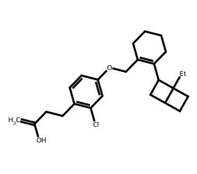 C=C(O)CCc1ccc(OCC2=C(C3CC4CCC43CC)CCCC2)cc1Cl